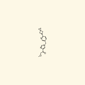 COCC(=O)c1cn(Cc2ccc(N3CC4(CC4)C3)nc2)cn1